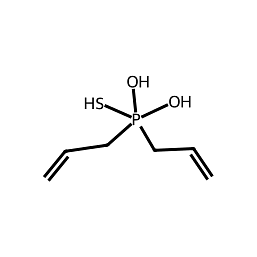 C=CCP(O)(O)(S)CC=C